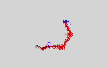 CC(C)CCC[C@@H](C)C1CCC2C3CC=C4C[C@@H](OC(=O)NCCCOCCOCCOCCOCC(O)COP(=O)(O)OCCOCCOCCOCCOCCOCCOP(=O)(O)OCCOCCOCCOCCOCCOCCN)CC[C@]4(C)C3CC[C@@]21C